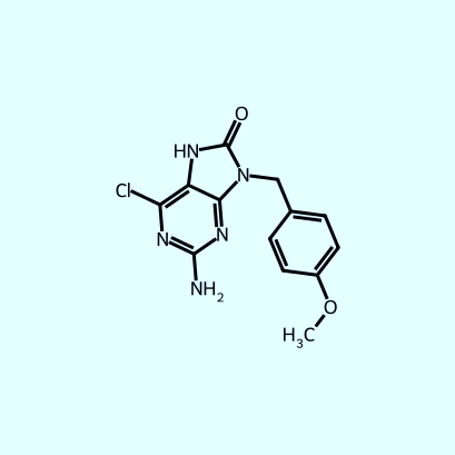 COc1ccc(Cn2c(=O)[nH]c3c(Cl)nc(N)nc32)cc1